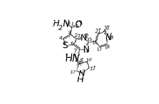 NC(=O)c1csc2c(N[C@@H]3CCNC3)nc(-c3ccncc3)nc12